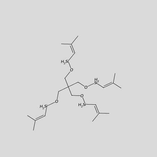 CC(C)=C[SiH2]OCC(CO[SiH2]C=C(C)C)(CO[SiH2]C=C(C)C)CO[SiH2]C=C(C)C